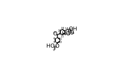 CC(O)Oc1ccc(C(=O)c2ccc(CP(=O)(O)O)cc2)cc1